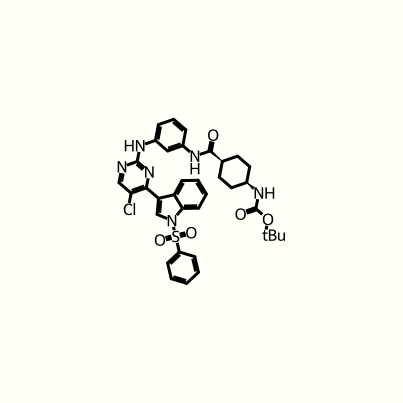 CC(C)(C)OC(=O)N[C@H]1CC[C@@H](C(=O)Nc2cccc(Nc3ncc(Cl)c(-c4cn(S(=O)(=O)c5ccccc5)c5ccccc45)n3)c2)CC1